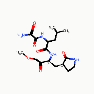 COCC(=O)[C@H](C[C@@H]1CCNC1=O)NC(=O)C(CC(C)C)NC(=O)C(N)=O